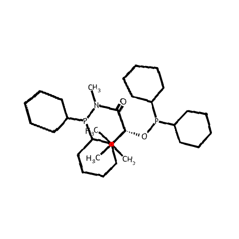 CN(C(=O)[C@H](OP(C1CCCCC1)C1CCCCC1)C(C)(C)C)P(C1CCCCC1)C1CCCCC1